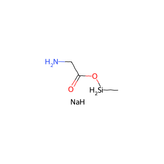 C[SiH2]OC(=O)CN.[NaH]